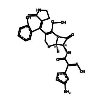 Nc1nc(C(=NO)C(=O)N[C@@H]2C(=O)N3C(C(=O)O)=C(C(=C4CCNC4=O)c4ccccc4O)CS[C@H]23)cs1